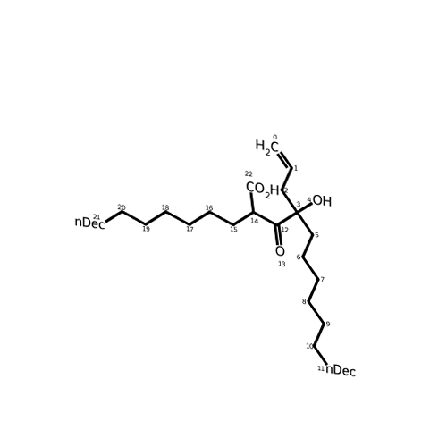 C=CCC(O)(CCCCCCCCCCCCCCCC)C(=O)C(CCCCCCCCCCCCCCCC)C(=O)O